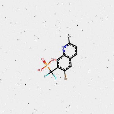 CC(=O)c1ccc2cc(Br)c(C(F)(F)P(=O)(O)O)cc2n1